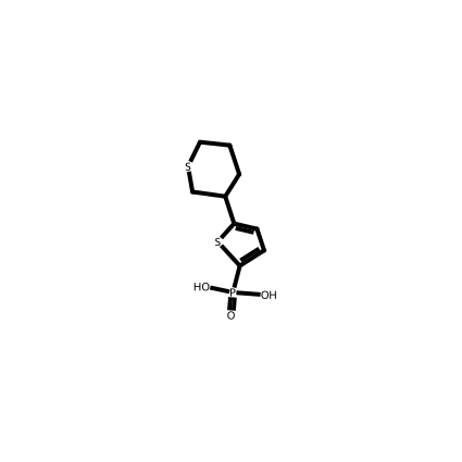 O=P(O)(O)c1ccc(C2CCCSC2)s1